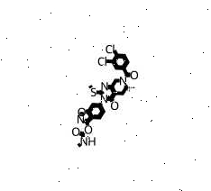 CNC(=O)Oc1noc2cc(-n3c(SC)nc4c(c3=O)C[C@@H](C)N(C(=O)c3ccc(Cl)c(Cl)c3)C4)ccc12